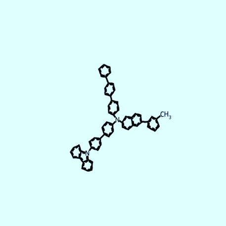 Cc1cccc(-c2ccc3cc(N(c4ccc(-c5ccc(-c6ccccc6)cc5)cc4)c4ccc(-c5ccc(-n6c7ccccc7c7ccccc76)cc5)cc4)ccc3c2)c1